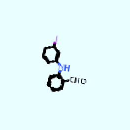 O=Cc1ccccc1NC1=CC(I)CC=C1